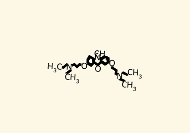 CCCN(CCC)CCCOc1ccc2c(c1)c(=O)c1cc(OCCCN(CCC)CCC)ccc1n2C